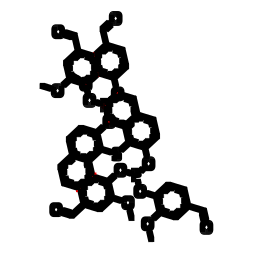 COc1cc(C=O)ccc1OP(Oc1ccc(C=O)cc1OC)Oc1ccc2ccccc2c1Sc1c(OP(Oc2ccc(C=O)cc2OC)Oc2ccc(C=O)cc2OC)ccc2ccccc12